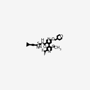 COc1cnc(C(F)F)cc1-c1cc(OCC2CCOCC2)ncc1C(=O)Nc1nnc(C#CC2CC2)s1